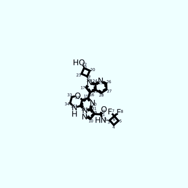 O=C(N[C@H]1CCC1(F)F)c1cnn2c3c(c(-c4cn([C@H]5C[C@H](O)C5)c5ncccc45)nc12)OCCN3